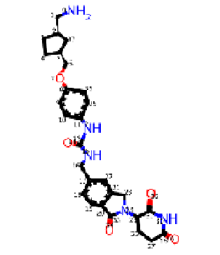 NC[C@@H]1CC[C@H](COc2ccc(NC(=O)NCc3ccc4c(c3)CN(C3CCC(=O)NC3=O)C4=O)cc2)C1